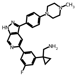 CN1CCN(c2ccc(-c3n[nH]c4cnc(-c5cc(F)cc(C6(CN)CC6)c5)cc34)cc2)CC1